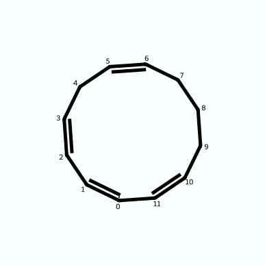 [C]1=CC=CCC=CCCCC=C1